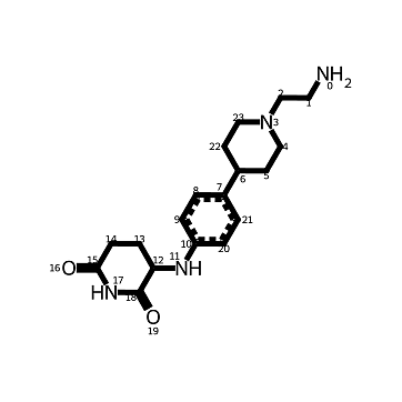 NCCN1CCC(c2ccc(NC3CCC(=O)NC3=O)cc2)CC1